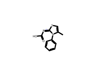 Cc1cs/c(=N/C(=O)O)n1-c1ccccc1